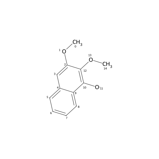 COc1cc2ccccc2c([O])c1OC